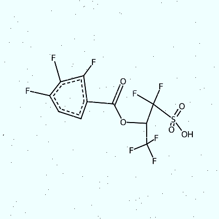 O=C(OC(C(F)(F)F)C(F)(F)S(=O)(=O)O)c1ccc(F)c(F)c1F